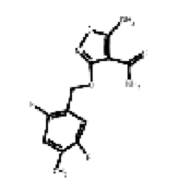 Cc1cc(F)c(COc2nsc(N)c2C(N)=O)cc1F